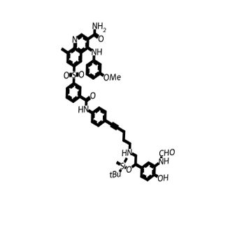 COc1cccc(Nc2c(C(N)=O)cnc3c(C)cc(S(=O)(=O)c4cccc(C(=O)Nc5ccc(C#CCCCNCC(O[Si](C)(C)C(C)(C)C)c6ccc(O)c(NC=O)c6)cc5)c4)cc23)c1